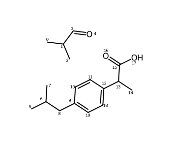 CC(C)C=O.CC(C)Cc1ccc(C(C)C(=O)O)cc1